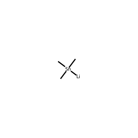 [Li][Sn]([CH3])([CH3])[CH3]